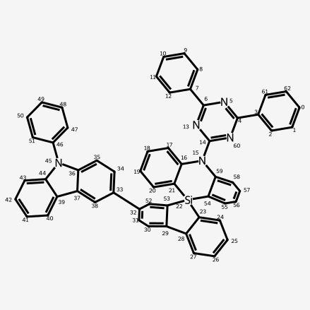 c1ccc(-c2nc(-c3ccccc3)nc(N3c4ccccc4[Si]4(c5ccccc5-c5ccc(-c6ccc7c(c6)c6ccccc6n7-c6ccccc6)cc54)c4ccccc43)n2)cc1